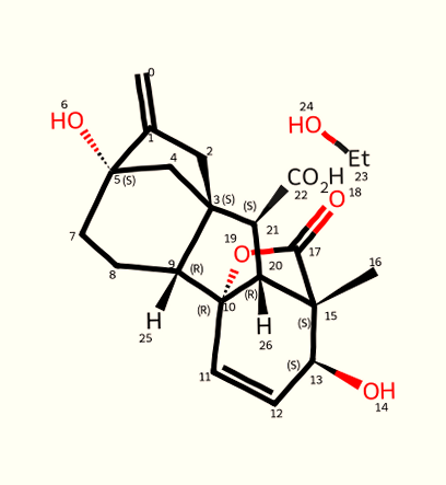 C=C1C[C@]23C[C@@]1(O)CC[C@H]2[C@@]12C=C[C@H](O)[C@@](C)(C(=O)O1)[C@H]2[C@@H]3C(=O)O.CCO